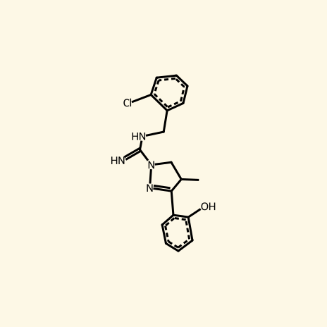 CC1CN(C(=N)NCc2ccccc2Cl)N=C1c1ccccc1O